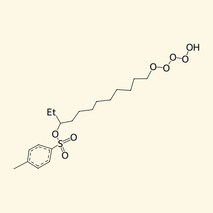 CCC(CCCCCCCCCOOOOO)OS(=O)(=O)c1ccc(C)cc1